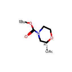 CC(=O)O[C@@H]1CN(C(=O)OC(C)(C)C)CCO1